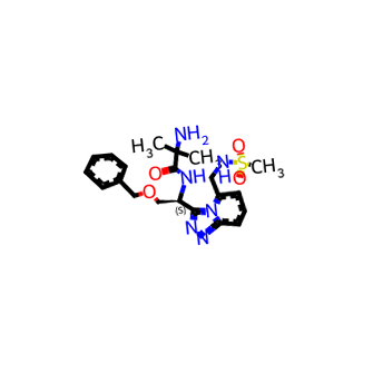 CC(C)(N)C(=O)N[C@H](COCc1ccccc1)c1nnc2cccc(CNS(C)(=O)=O)n12